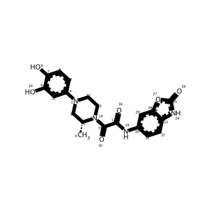 C[C@@H]1CN(c2ccc(O)c(O)c2)CCN1C(=O)C(=O)Nc1ccc2[nH]c(=O)oc2c1